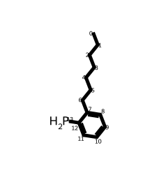 CCCCCCCc1ccccc1P